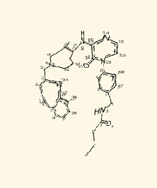 CCCC(=O)NCc1ccc(-n2ccnc(NC3CCN(Cc4ccc5ccccc5c4)CC3)c2=O)cc1